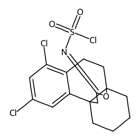 O=S(=O)(Cl)/N=C1/CC23CCCCC2(CCc2c(Cl)cc(Cl)cc23)O1